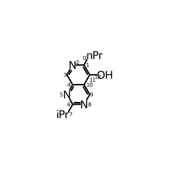 CCCc1ncc2nc(C(C)C)ncc2c1O